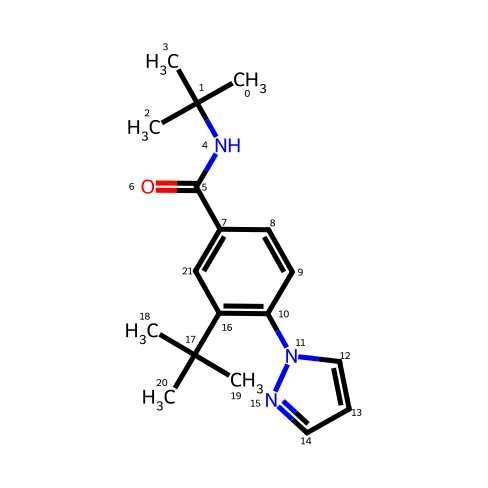 CC(C)(C)NC(=O)c1ccc(-n2cccn2)c(C(C)(C)C)c1